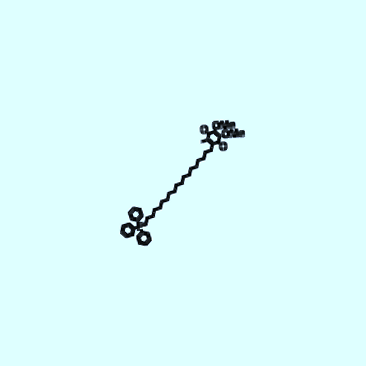 COC1=C(OC)C(=O)C(CCCCCCCCCCCCCCCCCCC[P+](c2ccccc2)(c2ccccc2)c2ccccc2)=C(C)C1=O